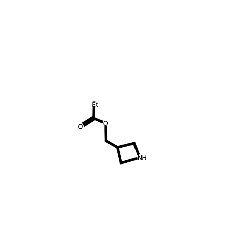 CCC(=O)OCC1CNC1